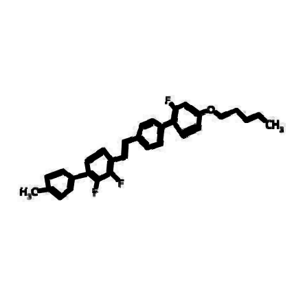 CCCCCOc1ccc(-c2ccc(/C=C/c3ccc(-c4ccc(C)cc4)c(F)c3F)cc2)c(F)c1